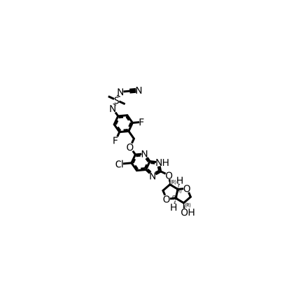 CS(C)(=NC#N)=Nc1cc(F)c(COc2nc3[nH]c(O[C@@H]4CO[C@H]5[C@@H]4OC[C@H]5O)nc3cc2Cl)c(F)c1